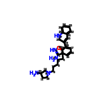 N=C(N)C1(CCCCCN2CCC(N)C2)C=CC=C(C2=Cc3ccccc3NC2)C1=O